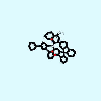 C=C(/C=C\C(=C/C)N(c1ccc2c(c1)C1(c3ccccc3-c3ccccc31)c1ccccc1-2)c1ccc(-c2ccccc2)cc1-c1ccccc1)c1ccccc1